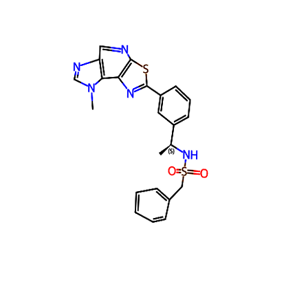 C[C@H](NS(=O)(=O)Cc1ccccc1)c1cccc(-c2nc3c(ncc4ncn(C)c43)s2)c1